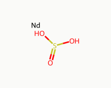 O=S(O)O.[Nd]